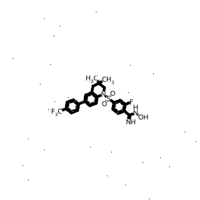 CC1(C)Cc2cc(-c3ccc(C(F)(F)F)cc3)ccc2N(S(=O)(=O)c2ccc(C(=N)NO)c(F)c2)C1